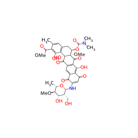 COC(=O)c1c(C)cc2c(c1O)[C@]1(O)C(=O)c3cc4c(c(O)c3C(=O)[C@]1(OC)[C@H](OC(=O)N(C)C)C2)C(=O)C=C(NC1O[C@@H](C)[C@H](OC)[C@@H](O)[C@H]1CO)C4=O